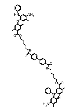 C=C1C=C(C(=O)OCCCCCNC(=O)c2ccc(-c3ccc(C(=O)NCCCCCOC(=O)c4cc5c(cc4C)nc4cc(C)c(N)cc4[n+]5-c4ccccc4)cc3)cc2)C(C)=C/C1=N/c1cc(C)c(N)cc1Nc1ccccc1